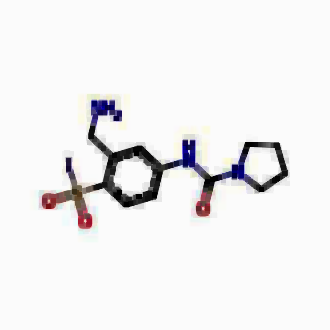 NCc1cc(NC(=O)N2CCCC2)ccc1S(=O)(=O)I